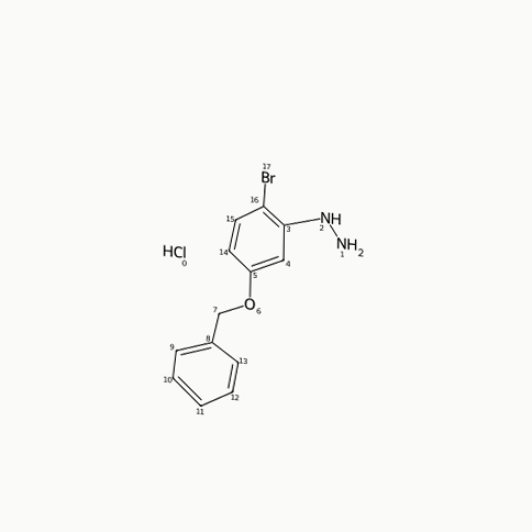 Cl.NNc1cc(OCc2ccccc2)ccc1Br